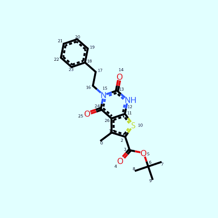 Cc1c(C(=O)OC(C)(C)C)sc2[nH]c(=O)n(CCc3ccccc3)c(=O)c12